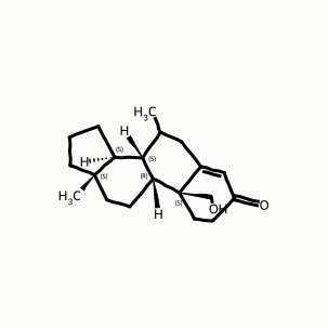 CC1CC2=CC(=O)CC[C@]2(CO)[C@@H]2CC[C@]3(C)CCC[C@H]3[C@H]12